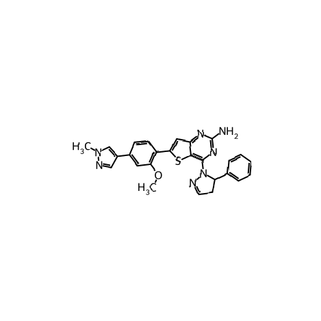 COc1cc(-c2cnn(C)c2)ccc1-c1cc2nc(N)nc(N3N=CCC3c3ccccc3)c2s1